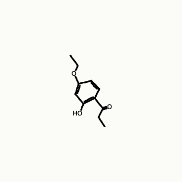 CCOc1ccc(C(=O)CC)c(O)c1